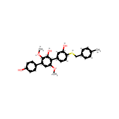 COc1cc(-c2ccc(O)cc2)c(OC)c(O)c1-c1ccc(SCc2ccc(C)cc2)c(O)c1